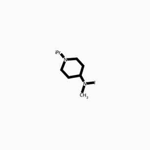 CC(C)N1CCC(N(C)I)CC1